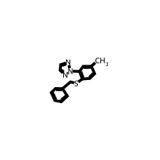 Cc1ccc(SCc2ccccc2)c(-n2nccn2)c1